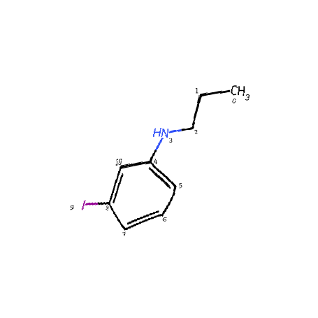 CCCNc1cccc(I)c1